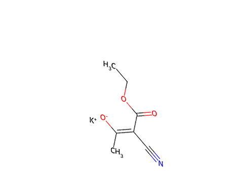 CCOC(=O)C(C#N)=C(C)[O-].[K+]